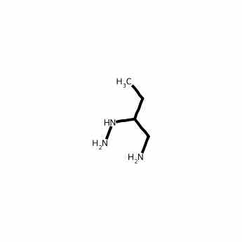 CCC(CN)NN